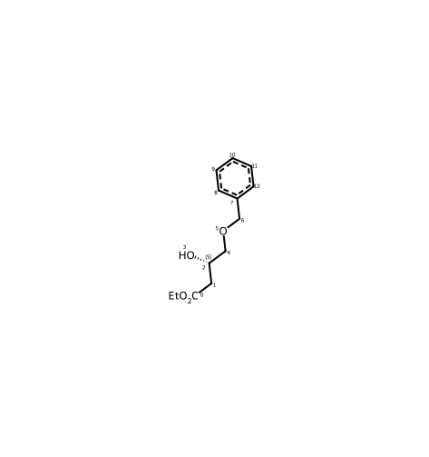 CCOC(=O)C[C@H](O)COCc1ccccc1